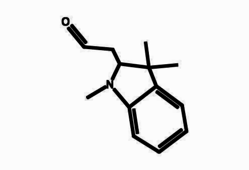 CN1c2ccccc2C(C)(C)C1CC=O